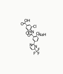 O=C(O)c1cc(Cl)c(NC(=O)c2cc(-c3nccc(C(F)(F)F)n3)ccc2Cl)c(Cl)c1.[NaH]